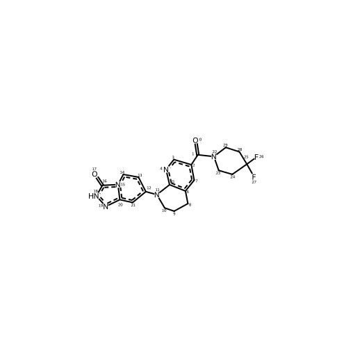 O=C(c1cnc2c(c1)CCCN2c1ccn2c(=O)[nH]nc2c1)N1CCC(F)(F)CC1